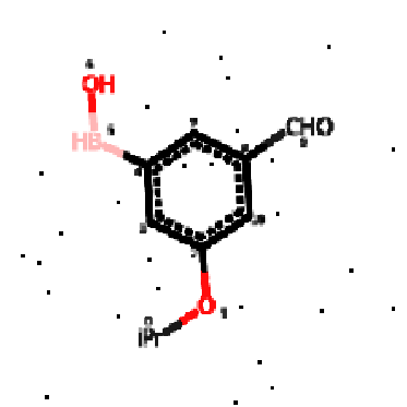 CC(C)Oc1cc(BO)cc(C=O)c1